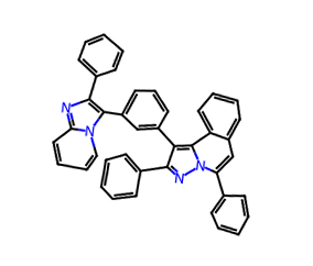 c1ccc(-c2nn3c(-c4ccccc4)cc4ccccc4c3c2-c2cccc(-c3c(-c4ccccc4)nc4ccccn34)c2)cc1